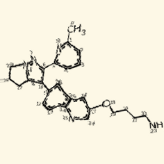 Cc1cccc(-c2nn3c(c2-c2ccc4ncc(OCCCCN)cc4c2)CCC3)n1